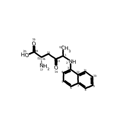 CC(Nc1cccc2ccccc12)C(=O)C[C@H](N)C(=O)O